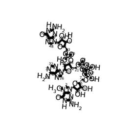 C[n+]1cn([C@@H]2O[C@H](COP(=O)(O)OP(=O)(O)OP(=O)(O)OC[C@H]3O[C@@H](n4cnc5c(N)ncnc54)[C@@H](F)C3OP(=O)(O)OC[C@H]3O[C@@H](n4cnc5c(=O)[nH]c(N)nc54)[C@@H](O)C3O)C(O)[C@@H]2O)c2nc(N)[nH]c(=O)c21